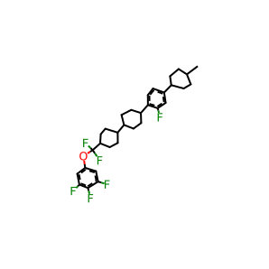 CC1CCC(c2ccc(C3CCC(C4CCC(C(F)(F)Oc5cc(F)c(F)c(F)c5)CC4)CC3)c(F)c2)CC1